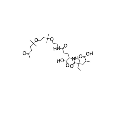 CCC(C)(CC(C)C(=O)O)C(=O)NC(CCC(=O)NCCOC(C)(C)CCOC(C)(C)CCC(C)=O)C(=O)O